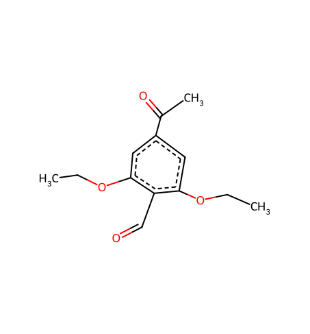 CCOc1cc(C(C)=O)cc(OCC)c1C=O